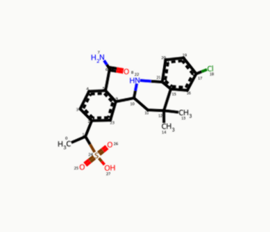 CC(c1ccc(C(N)=O)c(C2CC(C)(C)c3cc(Cl)ccc3N2)c1)S(=O)(=O)O